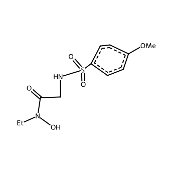 CCN(O)C(=O)CNS(=O)(=O)c1ccc(OC)cc1